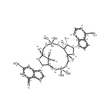 Nc1nc2c(ncn2[C@@H]2O[C@@H]3CO[PH](O)(S)O[C@H]4[C@H](F)[C@H](n5ccc6c(N)ncnc65)O[C@@H]4CO[PH](O)(S)O[C@@H]2[C@H]3F)c(=O)[nH]1